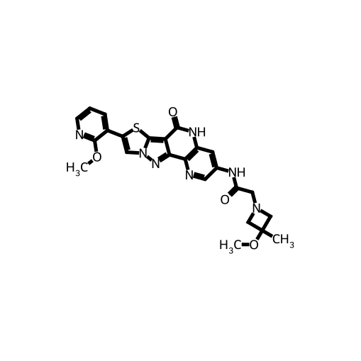 COc1ncccc1-c1cn2nc3c4ncc(NC(=O)CN5CC(C)(OC)C5)cc4[nH]c(=O)c3c2s1